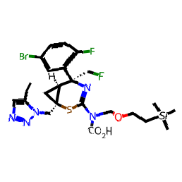 Cc1cnnn1C[C@]12C[C@H]1[C@@](CF)(c1cc(Br)ccc1F)N=C(N(COCC[Si](C)(C)C)C(=O)O)S2